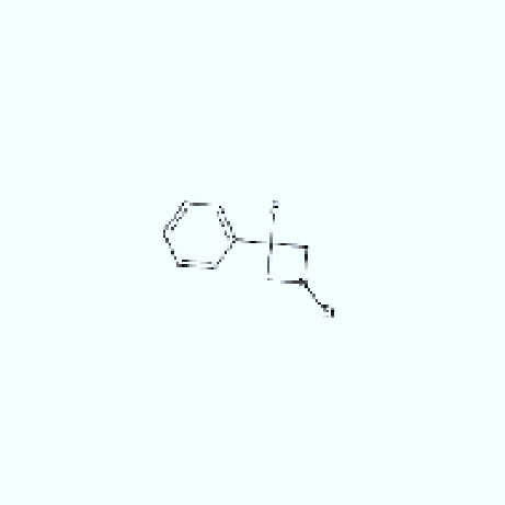 CCN1CC(F)(c2ccccc2)C1